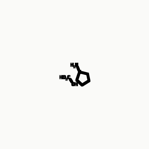 NN1CCCC1.O=C(O)O